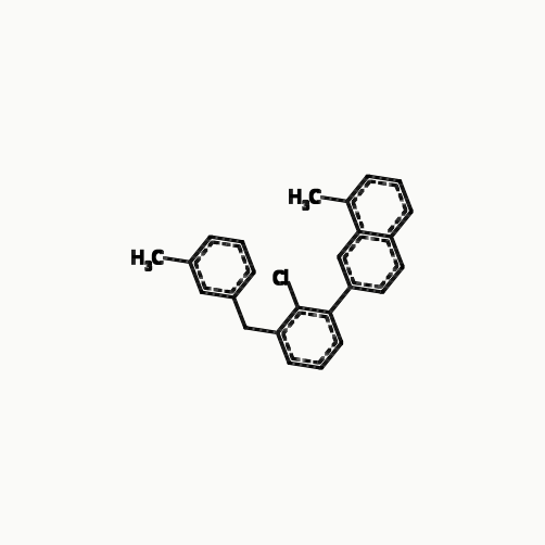 Cc1cccc(Cc2cccc(-c3ccc4cccc(C)c4c3)c2Cl)c1